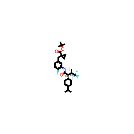 CC(C)C1=CCC([C@@H](C(=O)Nc2cc(CC3(C(=O)OC(C)(C)C)CC3)ccc2F)[C@@H](C)C(F)(F)F)C=C1